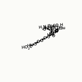 CC(C)[C@H](NC(=O)O)C(=O)N[C@@H](CCCNC(N)=O)C(=O)N[C@@H](Cc1ccc(OC(C)(C)C)cc1)C(=O)NCCOCCOCCOCCOCCOCCNC(=O)O